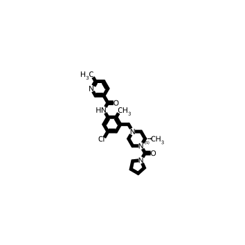 Cc1ccc(C(=O)Nc2cc(Cl)cc(CN3CCN(C(=O)N4CCCC4)[C@@H](C)C3)c2C)cn1